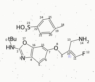 CC(C)(C)Nc1nc2ccc(OC/C(=C/F)CN)cc2o1.Cc1ccc(S(=O)(=O)O)cc1